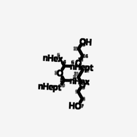 CCCCCCCC(CCCCCC)OC(CCCCCC)CCCCCCC.OCCOCCOCCO